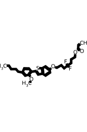 C=CC(=O)OCCCC(F)(F)CCCOc1ccc2cc(-c3ccc(CCCCC)cc3OC)sc2c1